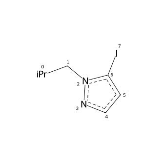 CC(C)Cn1nccc1I